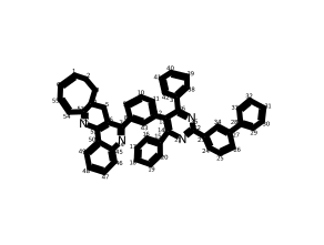 C1=C\CCC2Cc3c(-c4cccc(-c5c(-c6ccccc6)nc(-c6cccc(-c7ccccc7)c6)nc5-c5ccccc5)c4)nc4ccccc4c3N=C2\C=C/1